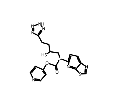 O=C(Oc1ccncc1)N(CC(S)CCc1nn[nH]n1)c1ccc2ncsc2n1